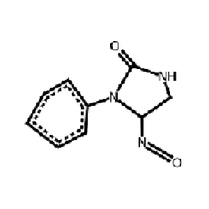 O=NC1CNC(=O)N1c1ccccc1